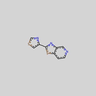 c1cc2sc(-c3cscn3)nc2cn1